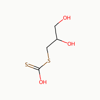 OCC(O)CSC(O)=S